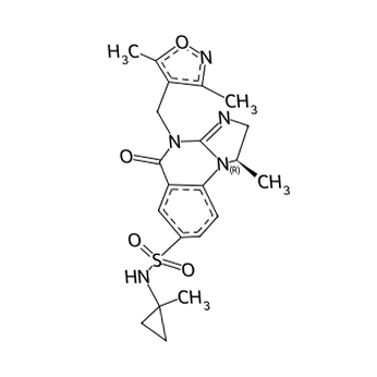 Cc1noc(C)c1CN1C(=O)c2cc(S(=O)(=O)NC3(C)CC3)ccc2N2C1=NC[C@H]2C